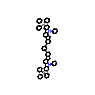 c1ccc(-n2c3ccc([Si](c4ccccc4)(c4ccccc4)c4ccccc4)cc3c3ccc4c(c32)Cc2ccc(-c3cccc(-c5ccc6c(c5)-c5ccc7c8cc([Si](c9ccccc9)(c9ccccc9)c9ccccc9)ccc8n(-c8ccccc8)c7c5C6)c3)cc2-4)cc1